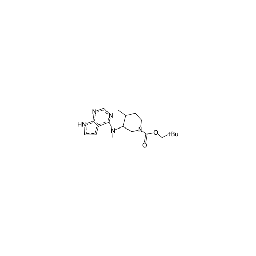 CC1CCN(C(=O)OCC(C)(C)C)CC1N(C)c1ncnc2[nH]ccc12